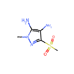 Cn1nc(S(C)(=O)=O)c(N)c1N